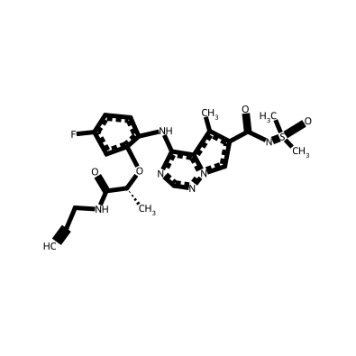 C#CCNC(=O)[C@@H](C)Oc1cc(F)ccc1Nc1ncnn2cc(C(=O)N=S(C)(C)=O)c(C)c12